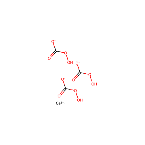 O=C([O-])OO.O=C([O-])OO.O=C([O-])OO.[Ce+3]